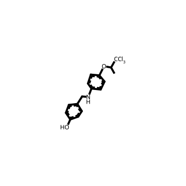 CC(Oc1ccc(NCc2ccc(O)cc2)cc1)C(Cl)(Cl)Cl